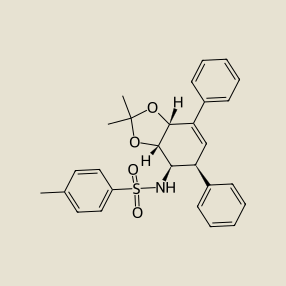 Cc1ccc(S(=O)(=O)N[C@H]2[C@@H]3OC(C)(C)O[C@@H]3C(c3ccccc3)=C[C@H]2c2ccccc2)cc1